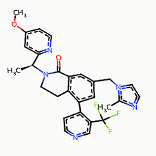 COc1ccnc([C@H](C)N2CCc3c(cc(Cn4ccnc4C)cc3-c3ccncc3C(F)(F)F)C2=O)c1